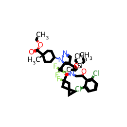 CCOC(=O)[C@]1(C)CC[C@@H](n2ncc(C(=O)N(CC(O[Si](CC)(CC)CC)c3c(Cl)cccc3Cl)CC3(F)CC4(CC4)C3)c2C(F)(F)F)CC1